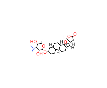 C[C@@H]1O[C@@H](O[C@H]2CC[C@@]3(C)[C@H](CC[C@@H]4[C@@H]3CC[C@]3(C)[C@@H]5CC[C@]43O[C@H]3OC(=O)C[C@H]35)C2)[C@H](O)[C@@H](N(C)C)[C@H]1O